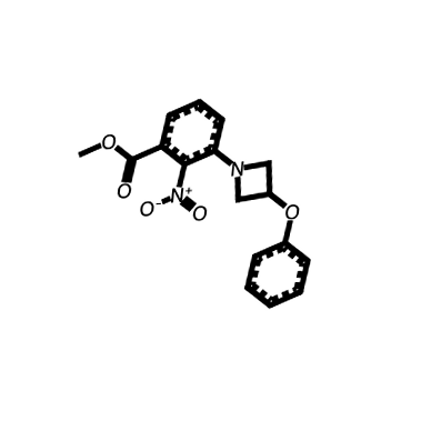 COC(=O)c1cccc(N2CC(Oc3ccccc3)C2)c1[N+](=O)[O-]